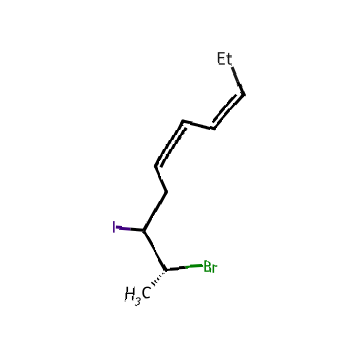 CC/C=C\C=C/CC(I)[C@@H](C)Br